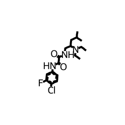 CCN(CC)C(CNC(=O)C(=O)Nc1ccc(Cl)c(F)c1)CC(C)C